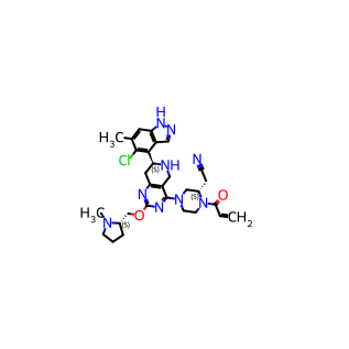 C=CC(=O)N1CCN(c2nc(OC[C@@H]3CCCN3C)nc3c2CN[C@H](c2c(Cl)c(C)cc4[nH]ncc24)C3)C[C@@H]1CC#N